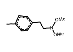 CON(CCc1ccc(C)cc1)OC